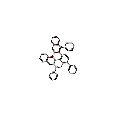 c1ccc(-c2ccc(CP(c3ccccc3)c3ccccc3)c(CP(c3ccccc3)c3ccccc3)c2CP(c2ccccc2)c2ccccc2)cc1